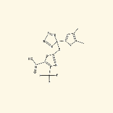 Cc1cc(C2(Sc3nc(C(F)(F)F)c(C(=O)O)s3)N=NN=N2)sc1C